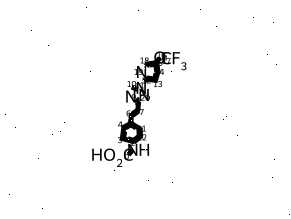 O=C(O)Nc1ccc(/C=C/c2ncn(-c3ccc(OC(F)(F)F)cn3)n2)cc1